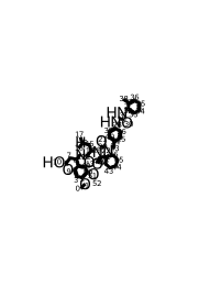 COc1ccc(C(CC(=O)O)NC(=O)C(CC(C)C)N2C(=O)N(Cc3ccc(NC(=O)Nc4ccccc4C)cc3)C3(CCCCC3)C2=O)cc1OC